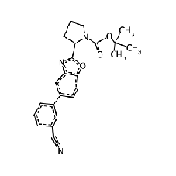 CC(C)(C)OC(=O)N1CCCC1c1nc2cc(-c3cccc(C#N)c3)ccc2o1